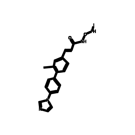 Cc1cc(/C=C/C(=O)NOPI)ccc1-c1ccc(-n2ccnc2)cc1